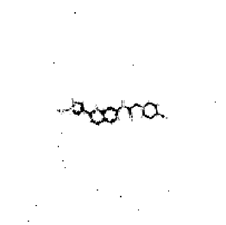 Cn1cc(-c2ccc3cnc(NC(=O)CN4CCC(F)CC4)cc3n2)cn1